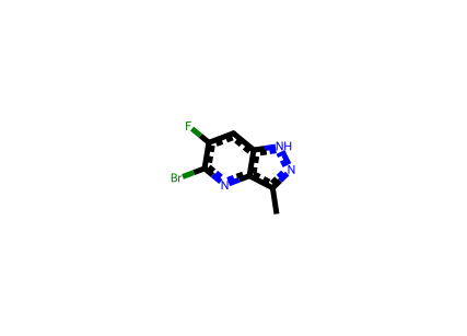 Cc1n[nH]c2cc(F)c(Br)nc12